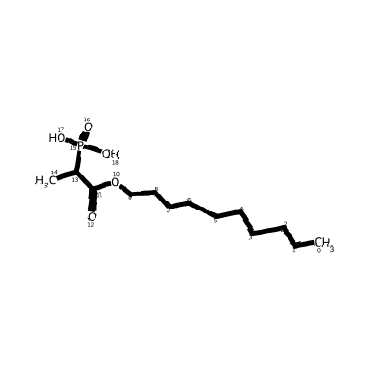 CCCCCCCCCCOC(=O)C(C)P(=O)(O)O